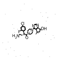 C[C@@H]1C[C@@H](O)c2ncnc(N3CCN(C(=O)[C@H](CCN)c4ccc(Cl)cc4F)CC3)c21